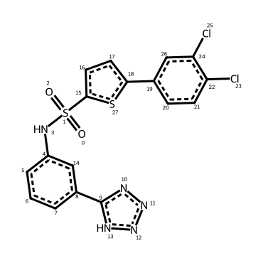 O=S(=O)(Nc1cccc(-c2nnn[nH]2)c1)c1ccc(-c2ccc(Cl)c(Cl)c2)s1